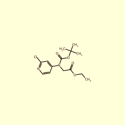 CCOC(=O)CN(C(=O)OC(C)(C)C)c1ccnc(Cl)c1